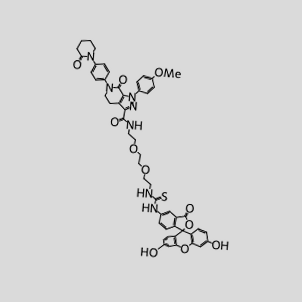 COc1ccc(-n2nc(C(=O)NCCOCCOCCNC(=S)Nc3ccc4c(c3)C(=O)OC43c4ccc(O)cc4Oc4cc(O)ccc43)c3c2C(=O)N(c2ccc(N4CCCCC4=O)cc2)CC3)cc1